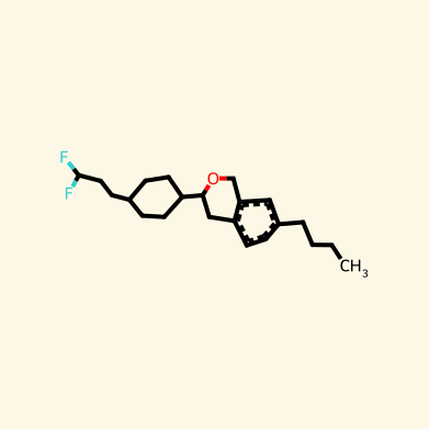 CCCCc1ccc2c(c1)COC(C1CCC(CCC(F)F)CC1)C2